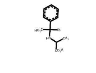 CCC(NC(C)C(=O)O)(C(=O)O)c1ccccc1